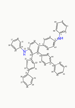 c1ccc(Nc2ccc(-c3ccc(Nc4ccccc4)c(-c4ccc(-c5ccccc5)cc4)c3-c3ccc(-c4ccccc4)cc3)cc2)cc1